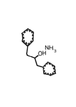 N.OC(Cc1ccccc1)Cc1ccccc1